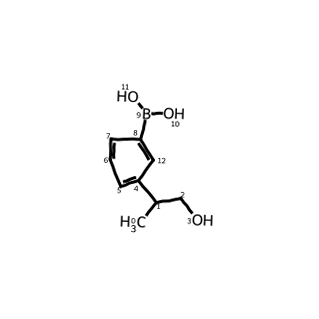 CC(CO)c1cccc(B(O)O)c1